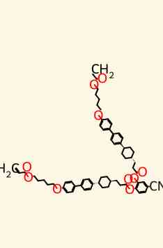 C=CC(=O)OCCCCCOc1ccc(-c2ccc([C@H]3CC[C@H](CCC(=O)Oc4ccc(C#N)cc4OC(=O)CC[C@H]4CC[C@H](c5ccc(-c6ccc(OCCCCCOC(=O)C=C)cc6)cc5)CC4)CC3)cc2)cc1